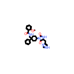 COc1ccccc1C(=O)NCC1(c2ccccc2)CCC(N2C(=O)NC(Cc3c[nH]cn3)C2=O)CC1